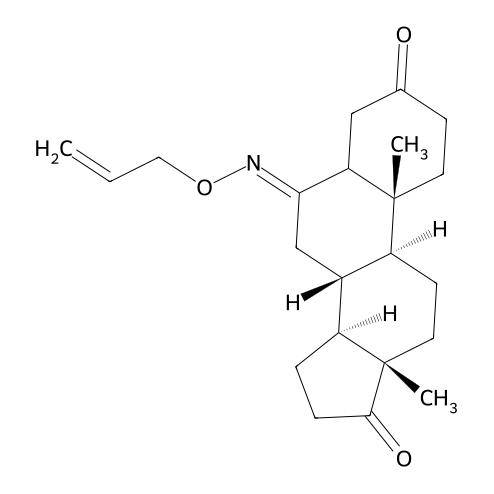 C=CCON=C1C[C@@H]2[C@H](CC[C@]3(C)C(=O)CC[C@@H]23)[C@@]2(C)CCC(=O)CC12